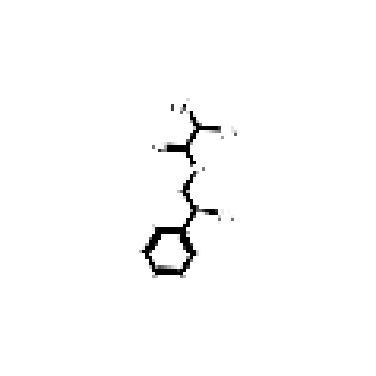 CC(C)C(=O)OC[C@@H](C)c1ccccc1